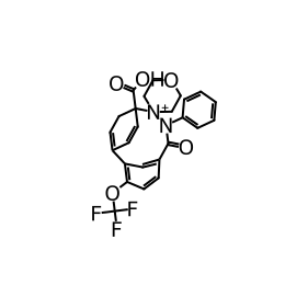 O=C1c2ccc(OC(F)(F)F)c(c2)C2=CCC(C(=O)O)(C=C2)[N+]2(CCOCC2)N1c1ccccc1